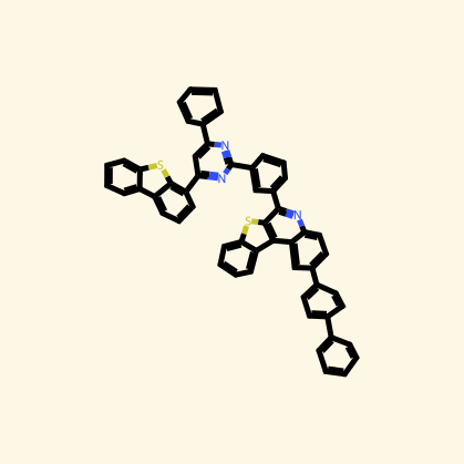 c1ccc(-c2ccc(-c3ccc4nc(-c5cccc(-c6nc(-c7ccccc7)cc(-c7cccc8c7sc7ccccc78)n6)c5)c5sc6ccccc6c5c4c3)cc2)cc1